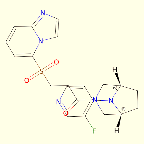 O=C(CCS(=O)(=O)c1cccc2nccn12)N1C[C@H]2CC[C@@H](C1)N2c1ccncc1F